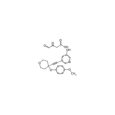 COc1ccc(OC2(C#Cc3cncc(O)c3)CCOCC2)cc1.O=CNCC(=O)O